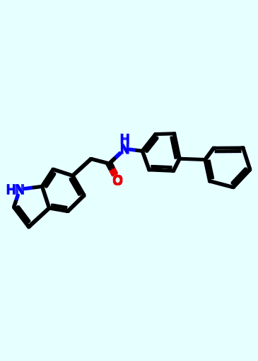 O=C(Cc1ccc2cc[nH]c2c1)Nc1ccc(-c2ccccc2)cc1